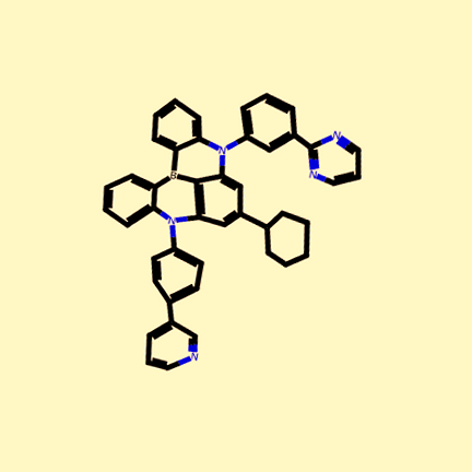 c1cnc(-c2cccc(N3c4ccccc4B4c5ccccc5N(c5ccc(-c6cccnc6)cc5)c5cc(C6CCCCC6)cc3c54)c2)nc1